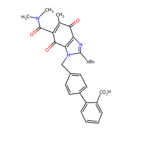 CCCCc1nc2c(n1Cc1ccc(-c3ccccc3C(=O)O)cc1)C(=O)C(C(=O)N(C)C)=C(C)C2=O